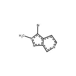 Cn1nc2cnccc2c1Br